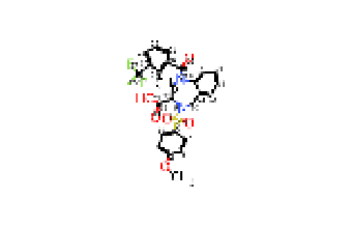 COc1ccc(S(=O)(=O)N2Cc3ccccc3N(C(=O)c3cccc(C(F)(F)F)c3C)CC2C(=O)O)cc1